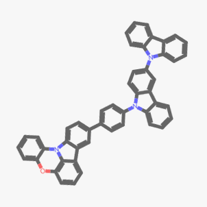 c1ccc2c(c1)Oc1cccc3c4cc(-c5ccc(-n6c7ccccc7c7cc(-n8c9ccccc9c9ccccc98)ccc76)cc5)ccc4n-2c13